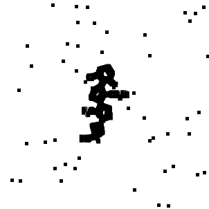 CCOC(=O)c1c(-c2c(F)cccc2Cl)noc1-c1cnn([C@H]2C[C@](C)(O)C2)c1C(F)(F)F